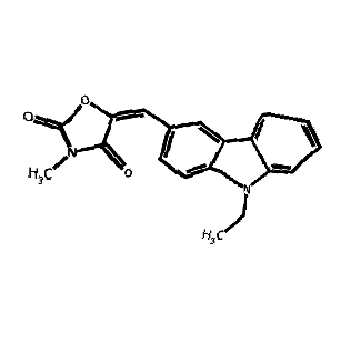 CCn1c2ccccc2c2cc(/C=C3/OC(=O)N(C)C3=O)ccc21